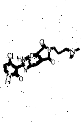 CN(C)CCCN1C(=O)c2cc3nc(-c4c(Cl)cc[nH]c4=O)[nH]c3cc2C1=O